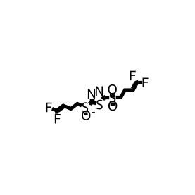 O=S(=O)(CCC=C(F)F)c1nnc([S+]([O-])CCC=C(F)F)s1